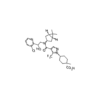 CC1(C)[C@@H]2C[C@@H](N(CC(O)c3ncccc3Cl)C(=O)c3cnn([C@H]4CC[C@](C)(C(=O)O)CC4)c3C(F)(F)F)C[C@@H]21